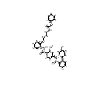 COc1cc(NC(=O)c2ccccc2-c2ccc(C)cc2)ccc1C(=O)N(C)c1ccccc1OCCCNC(=O)Oc1ccccc1